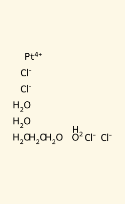 O.O.O.O.O.O.[Cl-].[Cl-].[Cl-].[Cl-].[Pt+4]